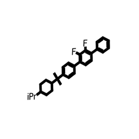 CC(C)C1CCC(C(C)(C)c2ccc(-c3ccc(-c4ccccc4)c(F)c3F)cc2)CC1